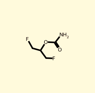 NC(=O)OC(CF)CF